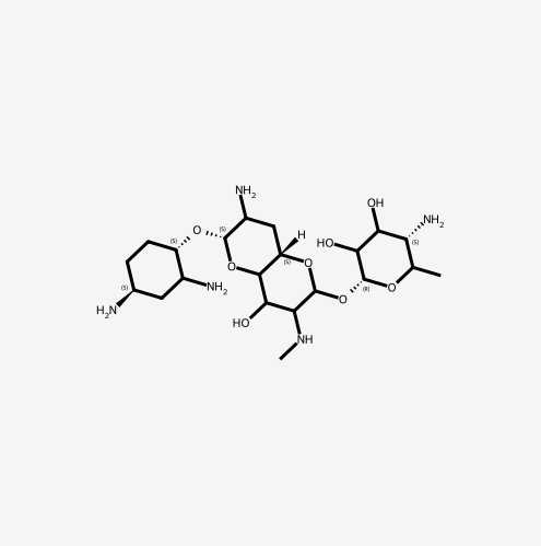 CNC1C(O[C@H]2OC(C)[C@@H](N)C(O)C2O)O[C@H]2CC(N)[C@@H](O[C@H]3CC[C@H](N)CC3N)OC2C1O